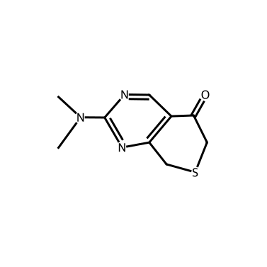 CN(C)c1ncc2c(n1)CSCC2=O